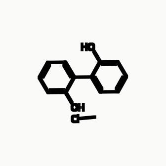 CCl.Oc1ccccc1-c1ccccc1O